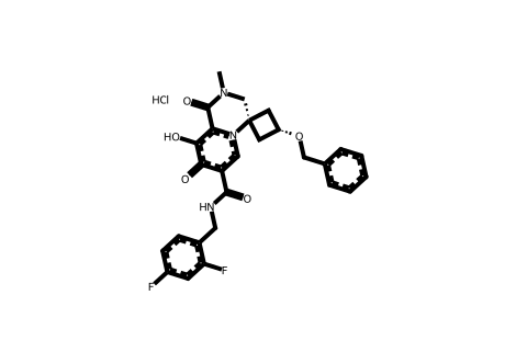 CN1C[C@]2(C[C@@H](OCc3ccccc3)C2)n2cc(C(=O)NCc3ccc(F)cc3F)c(=O)c(O)c2C1=O.Cl